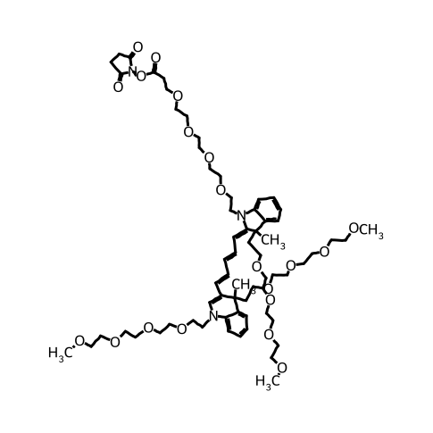 COCCOCCOCCOCCN1C=C(/C=C/C=C/C=C2/N(CCOCCOCCOCCOCCC(=O)ON3C(=O)CCC3=O)c3ccccc3C2(C)CCOCCOCCOCCOC)C(C)(CCOCCOCCOCCOC)c2ccccc21